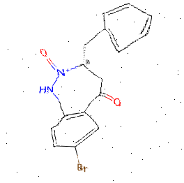 O=C1C[C@@H](Cc2ccccc2)[N+](=O)Nc2ccc(Br)cc21